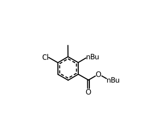 CCCCOC(=O)c1ccc(Cl)c(C)c1CCCC